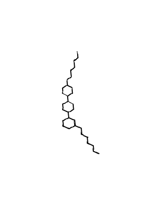 CCCCCCCC1CCC(C2CCC(C3CCCC(CCCCCCC)C3)CC2)CC1